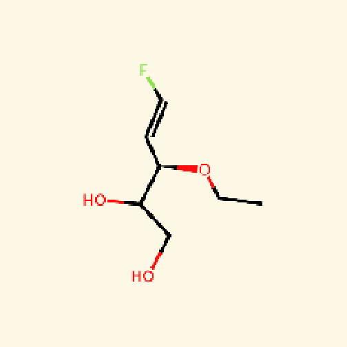 CCO[C@H](/C=C/F)C(O)CO